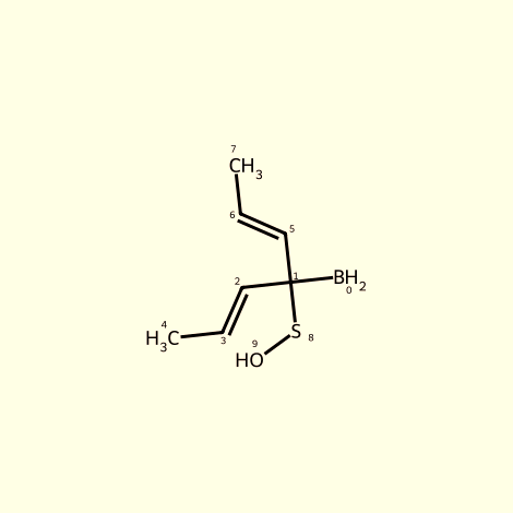 BC(C=CC)(C=CC)SO